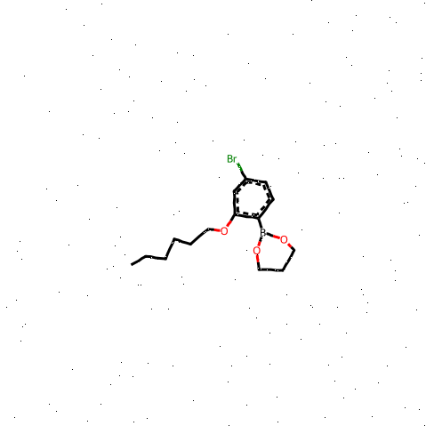 CCCCCCOc1cc(Br)ccc1B1OCCCO1